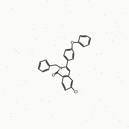 O=c1c2ccc(Cl)cc2cc(-c2ccc(Oc3ccccc3)cc2)n1Cc1ccccc1